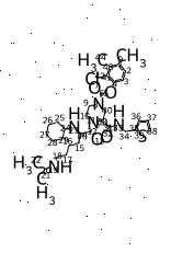 Cc1ccc(OC(=O)N2CCN(C(=O)[C@@H](CCCCNC(C)C)NC3CCCCC3)[C@H](C(=O)NCc3cccs3)C2)c(Cl)c1C